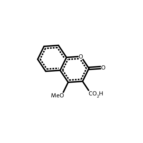 COc1c(C(=O)O)c(=O)oc2ccccc12